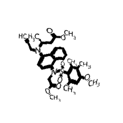 C#CCN(c1ccc(N(CC(=O)OC)S(=O)(=O)c2c(C)cc(OC)c(C)c2C)c2ccccc12)[C@@H](C)CC(=O)OC